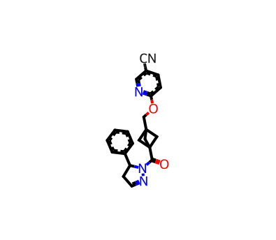 N#Cc1ccc(OCC23CC(C(=O)N4N=CCC4c4ccccc4)(C2)C3)nc1